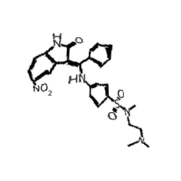 CN(C)CCN(C)S(=O)(=O)c1ccc(NC(=C2C(=O)Nc3ccc([N+](=O)[O-])cc32)c2ccccc2)cc1